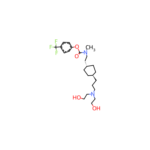 CN(CC[C@H]1CC[C@H](CCCN(CCO)CCO)CC1)C(=O)Oc1ccc(C(F)(F)F)cc1